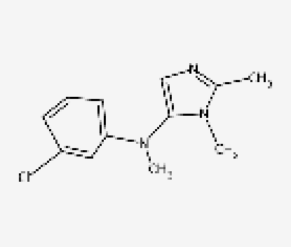 Cc1ncc(N(C)c2cccc(Cl)c2)n1C